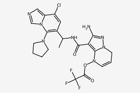 CC(NC(=O)c1c(N)nn2c1N(OC(=O)C(F)(F)F)C=CC2)c1cc(Cl)c2cncn2c1N1CCCC1